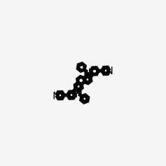 C1=CCC(n2c3c(c4ccc5c(c42)CCc2cc4c6cc(-c7ccncc7)ccc6n(-c6ccccc6)c4cc2-5)CC(c2ccncc2)C=C3)C=C1